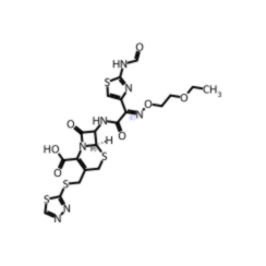 CCOCCO/N=C(/C(=O)NC1C(=O)N2C(C(=O)O)=C(CSc3nncs3)CS[C@H]12)c1csc(NC=O)n1